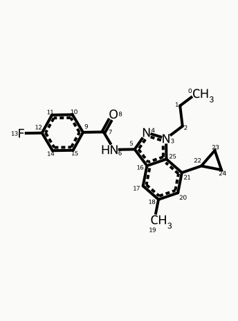 CCCn1nc(NC(=O)c2ccc(F)cc2)c2cc(C)cc(C3CC3)c21